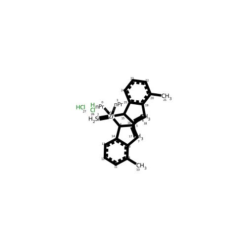 CC[CH2][Zr](=[SiH2])([CH2]CC)([CH]1C(C)=Cc2c(C)cccc21)[CH]1C(C)=Cc2c(C)cccc21.Cl.Cl